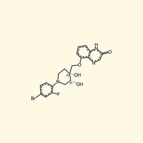 O=c1cnc2c(OC[C@]3(O)CCN(c4ccc(Br)cc4F)C[C@H]3O)cccc2[nH]1